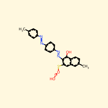 Cc1ccc(N=Nc2ccc(N=Nc3c(SOOO)cc4cc(C)ccc4c3O)cc2)cc1